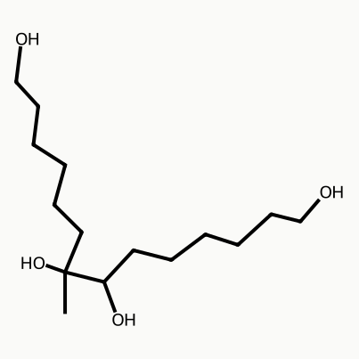 CC(O)(CCCCCCO)C(O)CCCCCCO